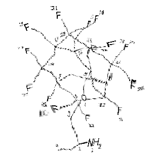 CC(N)COC1(C)C2(F)C(F)(F)C3(F)C(F)(F)C(F)(C2(F)F)C(F)(F)C1(F)C3(F)F